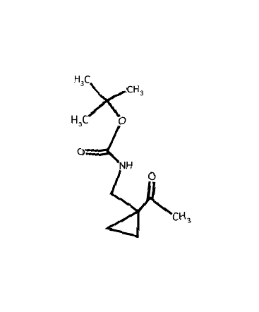 CC(=O)C1(CNC(=O)OC(C)(C)C)CC1